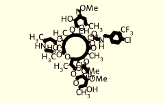 CON=C1C[C@@H](C)O[C@@H](O[C@@H]2[C@@H](C)[C@H](O[C@H]3CC(C)NC[C@H](C)O3)[C@@H](C)C(=O)O[C@H]([C@@H](C)CO[C@@H]3O[C@H](C)[C@@H](O)[C@@H](OC)[C@H]3OC)[C@H](C)[C@@H](OC(=O)CC(C)C)[C@@H](C)C(=O)[C@@](C)(OC(=O)NCc3ccc(Cl)c(C(F)(F)F)c3)C[C@@H]2C)[C@@H]1O